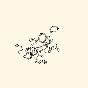 CO/N=C(\C(=O)NC1(C(C(=O)OC)(c2ccccc2)c2ccccc2)CON(C2(C(=O)OC(c3ccccc3)c3ccccc3)CCC(=O)O2)C1=O)c1csc(NC(=O)CCl)n1